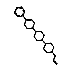 C=CCC1CCC(C2CCC(C3CC=C(c4ccccc4)CC3)CC2)CC1